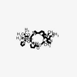 CCn1c(-c2cccnc2[C@H](C)OC)c2c3cc(ccc31)-c1csc(n1)C[C@H](NC(=O)[C@H](C(C)C)N(C)C(=O)N1CCCC1)C(=O)N1CCC[C@H](N1)C(=O)OCC(C)(C)C2